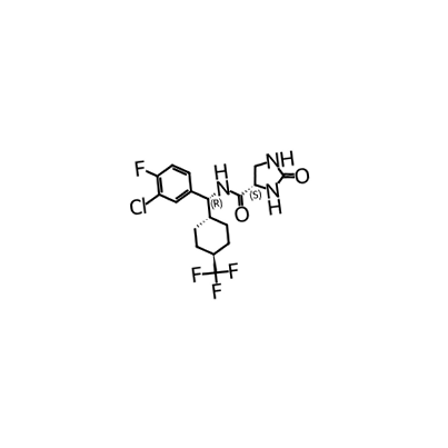 O=C1NC[C@@H](C(=O)N[C@@H](c2ccc(F)c(Cl)c2)[C@H]2CC[C@H](C(F)(F)F)CC2)N1